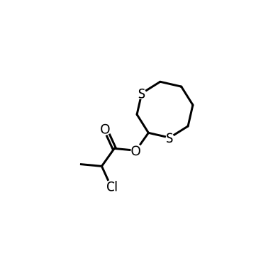 CC(Cl)C(=O)OC1CSCCCCS1